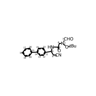 CC(C)(C)ON(C=O)CC(=O)NC(CC#N)c1ccc(-c2ccccc2)cc1